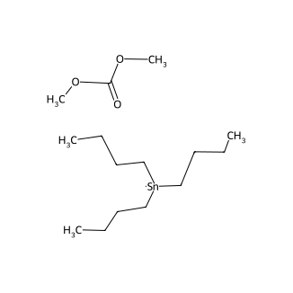 CCC[CH2][Sn]([CH2]CCC)[CH2]CCC.COC(=O)OC